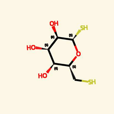 O[C@@H]1[C@@H](O)[C@H](S)O[C@H](CS)[C@@H]1O